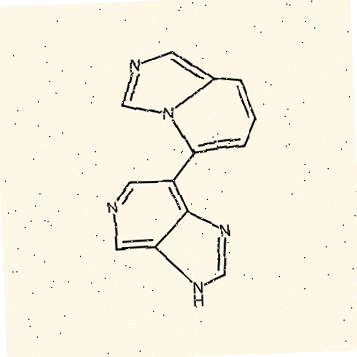 c1cc(-c2cncc3[nH]cnc23)n2cncc2c1